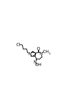 CN1CCC(=NO)c2cn(CCCCCl)cc2C1=O